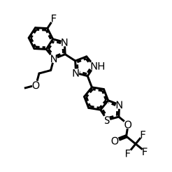 COCCn1c(-c2c[nH]c(-c3ccc4sc(OC(=O)C(F)(F)F)nc4c3)n2)nc2c(F)cccc21